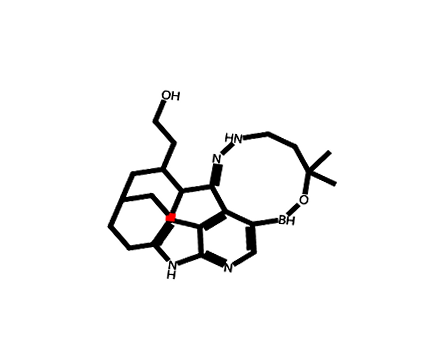 CC1(C)CCN/N=C(/C2C(CCO)CC3CCCC2C3)c2c(cnc3[nH]ccc23)BO1